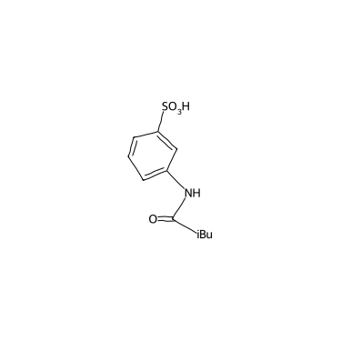 CCC(C)C(=O)Nc1cccc(S(=O)(=O)O)c1